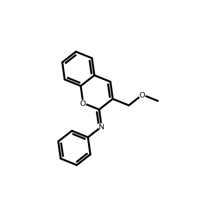 COCc1cc2ccccc2o/c1=N\c1ccccc1